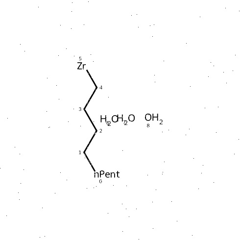 CCCCCCCC[CH2][Zr].O.O.O